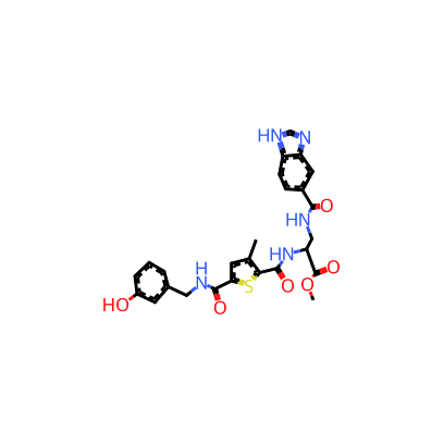 COC(=O)C(CNC(=O)c1ccc2[nH]cnc2c1)NC(=O)c1sc(C(=O)NCc2cccc(O)c2)cc1C